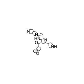 O=C(c1cc(C2=CCNCC2)ncc1NC(=O)N1Cc2ccncc2C1)C1CCS(=O)(=O)C1